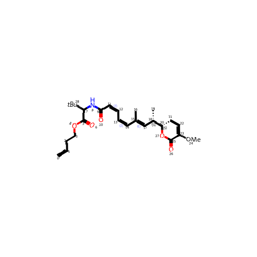 C=CCCOC(=O)C(NC(=O)\C=C/C=C\C(C)=C\[C@H](C)[C@@H]1CC=C(OC)C(=O)O1)C(C)(C)C